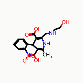 CC1=C(C(=O)O)C(c2ccccc2[N+](=O)[O-])C(C(=O)O)=C(CNCCO)N1